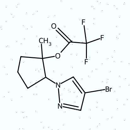 CC1(OC(=O)C(F)(F)F)CCCC1n1cc(Br)cn1